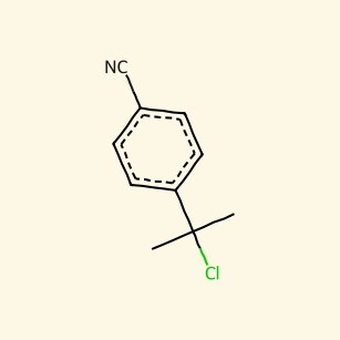 CC(C)(Cl)c1ccc(C#N)cc1